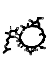 C/C1=C\C=C\[C@@H](C=O)[C@@]2(O)C[C@H](OC(=O)N2)[C@@H](C)[C@@H]2O[C@@]2(C)[C@@H](OC(=O)[C@@H](C)N(C)C(=O)CCSC(C)C)CC(=O)N(C)c2cc(cc(C=O)c2Cl)C1